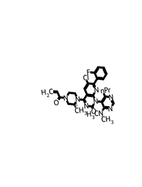 C=CC(=O)N1CCN(c2nc(=O)n(-c3c(CCC)ncnc3N(C)C)c3nc(-c4ccccc4F)c(Cl)cc23)[C@@H](C)C1